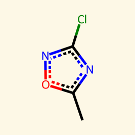 Cc1nc(Cl)no1